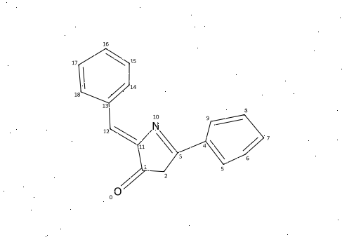 O=C1CC(c2ccccc2)=N/C1=C\c1ccccc1